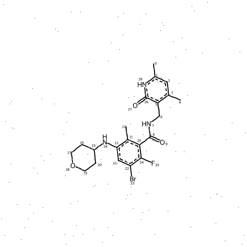 Cc1cc(C)c(CNC(=O)c2c(C)c(NC3CCOCC3)cc(Br)c2F)c(=O)[nH]1